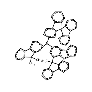 CC1(C)c2ccccc2-c2ccc(N(c3ccc4c(c3)C3(c5ccccc5-c5ccccc53)c3ccccc3-4)c3cc(C4(C)c5ccccc5-c5ccccc54)c4oc5ccccc5c4c3)cc21